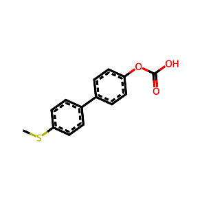 CSc1ccc(-c2ccc(OC(=O)O)cc2)cc1